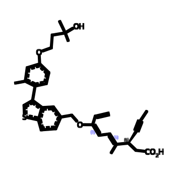 C=C/C(=C\C=C(/C)[C@@H](C#CC)CC(=O)O)OCc1ccc2scc(-c3ccc(OCCC(C)(C)O)cc3C)c2c1